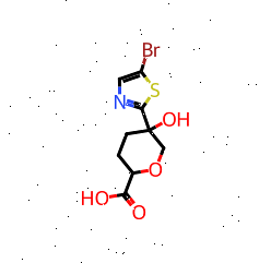 O=C(O)C1CCC(O)(c2ncc(Br)s2)CO1